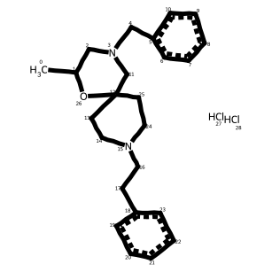 CC1CN(Cc2ccccc2)CC2(CCN(CCc3ccccc3)CC2)O1.Cl.Cl